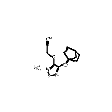 C#CCOc1nsnc1OC12CCC(CC1)C2.Cl